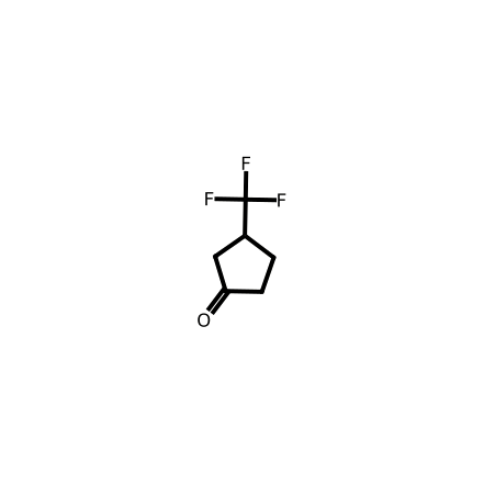 O=C1CCC(C(F)(F)F)C1